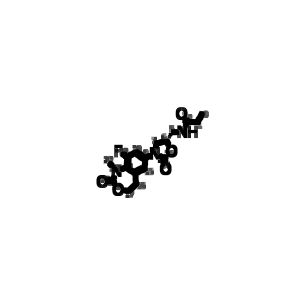 CCC(=O)NC[C@H]1CN(c2cc(F)c3c(c2)CCOC(=O)N3C)C(=O)O1